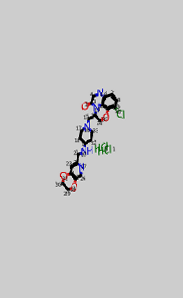 Cl.Cl.O=c1cnc2ccc(Cl)c3c2n1C(CN1CCC(NCc2cc4c(cn2)OCCO4)CC1)CO3